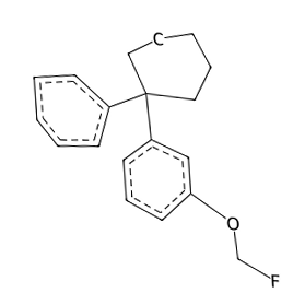 FCOc1cccc(C2(c3ccccc3)CCCCC2)c1